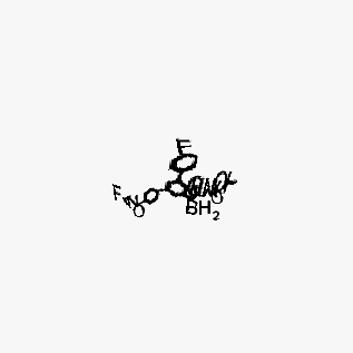 Bc1c(CNC(=O)OC(C)(C)C)oc2c(-c3ccc(F)cc3)cc(-c3ccc(C(=O)N4CC(F)C4)cc3)cc12